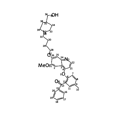 COc1cc2c(Oc3ccc(C)cc3C(=O)c3ccccc3)ccnc2cc1OCCCCN1CCC(CO)CC1